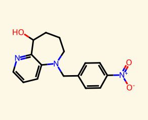 O=[N+]([O-])c1ccc(CN2CCCC(O)c3ncccc32)cc1